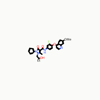 CC[C@@H](O)Cn1c(C)c(C(=O)Nc2ccc(Oc3ccnc4cc(OC)ccc34)c(F)c2)c(=O)n1-c1ccccc1